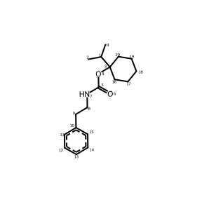 CC(C)C1(OC(=O)NCCc2ccccc2)CCCCC1